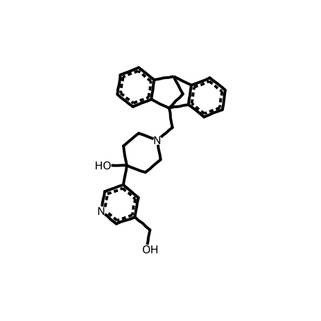 OCc1cncc(C2(O)CCN(CC34CC(c5ccccc53)c3ccccc34)CC2)c1